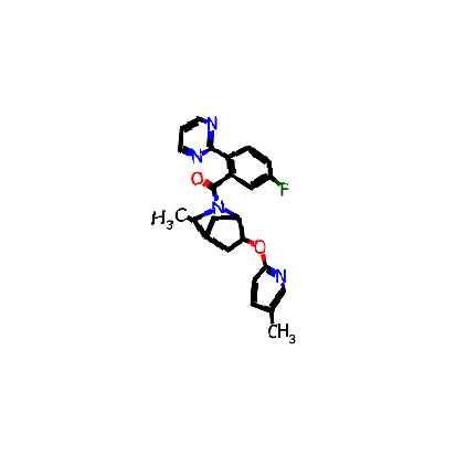 Cc1ccc(OC2CC3CC2N(C(=O)c2cc(F)ccc2-c2ncccn2)C3C)nc1